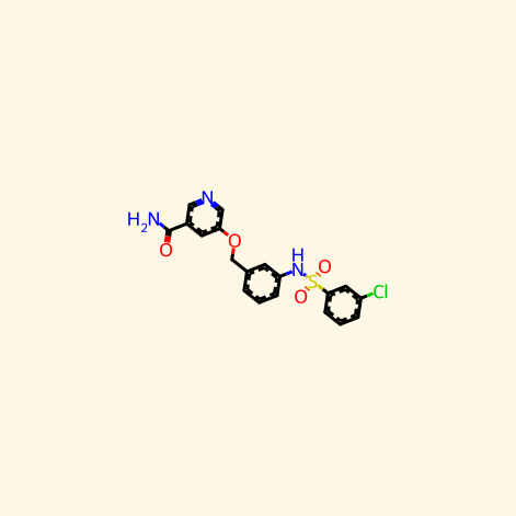 NC(=O)c1cncc(OCc2cccc(NS(=O)(=O)c3cccc(Cl)c3)c2)c1